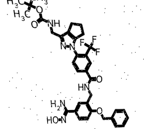 CC(C)(C)OC(=O)NCc1nn(-c2ccc(C(=O)NCc3cc(C(N)=NO)ccc3OCc3ccccc3)cc2C(F)(F)F)c2c1CCC2